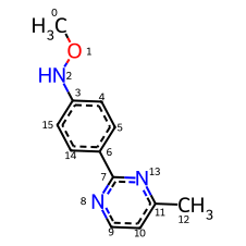 CONc1ccc(-c2nccc(C)n2)cc1